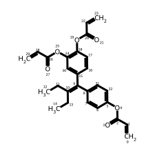 C=CC(=O)Oc1ccc(C(=C(CC)CC)c2ccc(OC(=O)C=C)c(OC(=O)C=C)c2)cc1